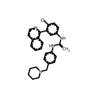 C=C(Nc1ccc(CN2CCCCC2)cc1)Nc1ccc(Cl)c(-c2nccc3ccccc23)c1